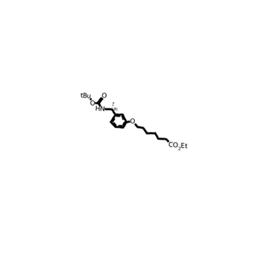 CCOC(=O)CCCCCCOc1cccc([C@@H](C)NC(=O)OC(C)(C)C)c1